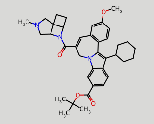 COc1ccc2c(c1)C=C(C(=O)N1C3CCC34CN(C)CC14)Cn1c-2c(C2CCCCC2)c2ccc(C(=O)OC(C)(C)C)cc21